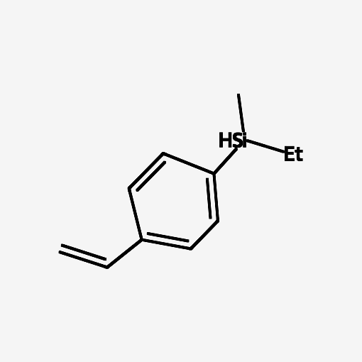 C=Cc1ccc([SiH](C)CC)cc1